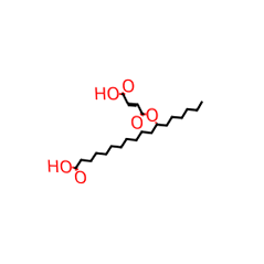 CCCCCCC(CCCCCCCCCCC(=O)O)OC(=O)C=CC(=O)O